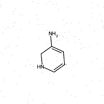 NC1=C[C]=CNC1